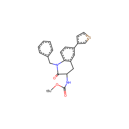 CC(C)(C)OC(=O)NC1Cc2cc(-c3ccsc3)ccc2N(Cc2ccccc2)C1=O